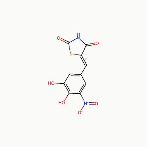 O=C1NC(=O)/C(=C/c2cc(O)c(O)c([N+](=O)[O-])c2)S1